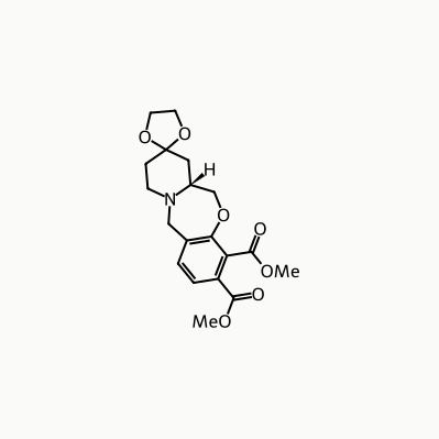 COC(=O)c1ccc2c(c1C(=O)OC)OC[C@H]1CC3(CCN1C2)OCCO3